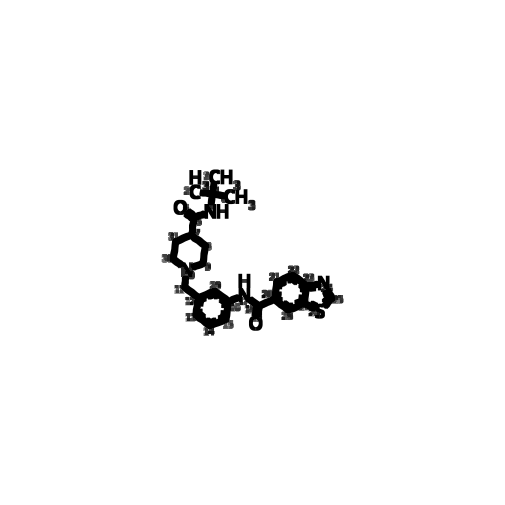 CC(C)(C)NC(=O)C1CCN(Cc2cccc(NC(=O)c3ccc4ncsc4c3)c2)CC1